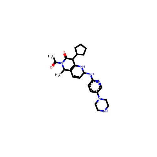 CC(=O)N1C(=O)C(C2CCCC2)C2=C(C=CC(Nc3ccc(N4CCNCC4)cn3)N2)C1C